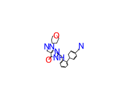 N#CC1=CCC(c2ccccc2Cc2nc3c(cnn3C3CCOCC3)c(=O)[nH]2)C=C1